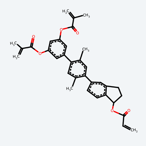 C=CC(=O)OC1CCc2cc(-c3cc(C)c(-c4cc(OC(=O)C(=C)C)cc(OC(=O)C(=C)C)c4)cc3C)ccc21